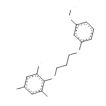 COc1cccc(OCCCOc2c(Cl)cc(O)cc2Cl)c1